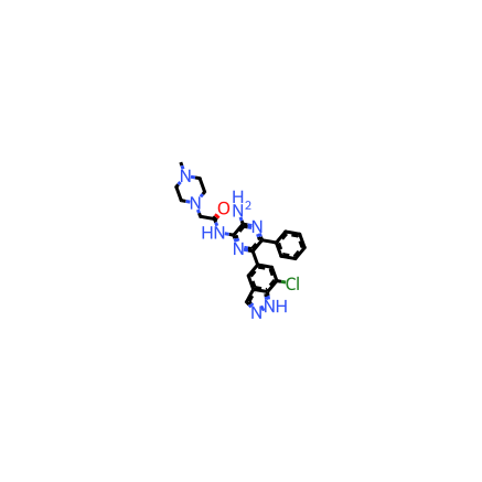 CN1CCN(CC(=O)Nc2nc(-c3cc(Cl)c4[nH]ncc4c3)c(-c3ccccc3)nc2N)CC1